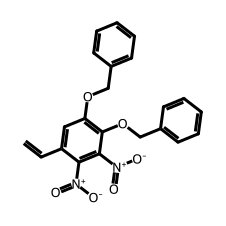 C=Cc1cc(OCc2ccccc2)c(OCc2ccccc2)c([N+](=O)[O-])c1[N+](=O)[O-]